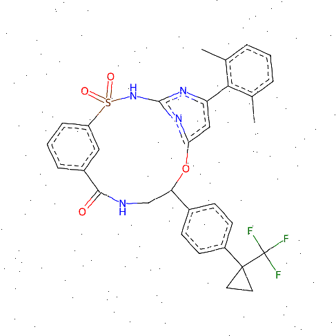 Cc1cccc(C)c1-c1cc2nc(n1)NS(=O)(=O)c1cccc(c1)C(=O)NCC(c1ccc(C3(C(F)(F)F)CC3)cc1)O2